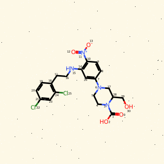 O=C(O)N1CCN(c2ccc([N+](=O)[O-])c(NCCc3ccc(Cl)cc3Cl)c2)CC1CO